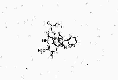 CC1=C2NC(=O)[N+](CCC(C)C)(C3(C)CC3)C2=C(c2nc3ncccc3[nH]2)CN1Cl